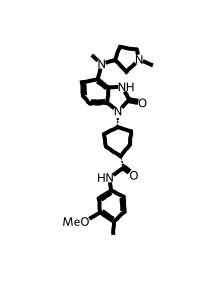 COc1cc(NC(=O)[C@H]2CC[C@@H](n3c(=O)[nH]c4c(N(C)C5CCN(C)C5)cccc43)CC2)ccc1C